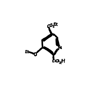 CCOC(=O)c1cnc(C(=O)O)c(OCC)c1